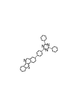 c1ccc(-c2nc(-c3ccccc3)nc(-c3ccc(-c4ccc5c(cnc6c7ccccc7sc56)c4)cc3)n2)cc1